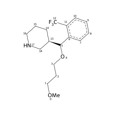 COCCCOC(c1ccccc1C(F)(F)F)[C@@H]1CCCNC1